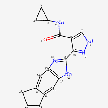 O=C(NC1CC1)c1c[nH]nc1-c1nc2cc3c(cc2[nH]1)CCC3